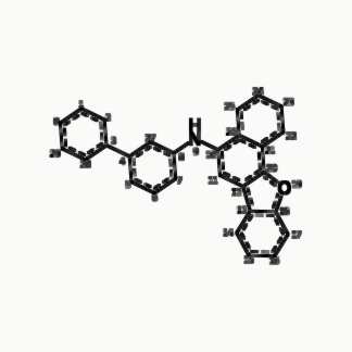 c1ccc(-c2cccc(Nc3cc4c5ccccc5oc4c4ccccc34)c2)cc1